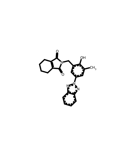 Cc1cc(-n2nc3ccccc3n2)cc(CN2C(=O)C3=C(CCCC3)C2=O)c1O